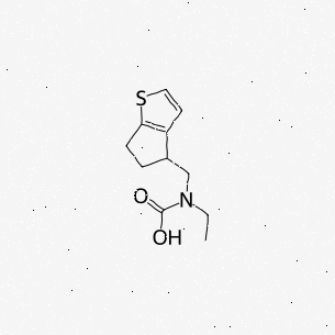 CCN(CC1CCc2sccc21)C(=O)O